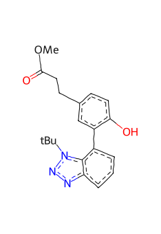 COC(=O)CCc1ccc(O)c(-c2cccc3nnn(C(C)(C)C)c23)c1